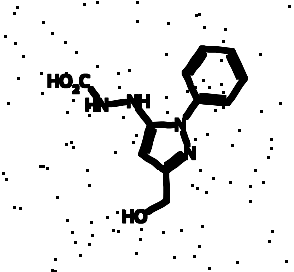 O=C(O)NNc1cc(CO)nn1-c1ccccc1